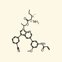 C=CC(=O)Nc1cc(OC)cc(-c2cnc3c(c2)c(-c2cccc(C#N)c2)cn3C(C)OC(=O)[C@@H](N)[C@@H](C)CC)c1